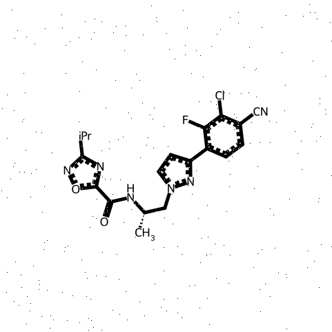 CC(C)c1noc(C(=O)N[C@@H](C)Cn2ccc(-c3ccc(C#N)c(Cl)c3F)n2)n1